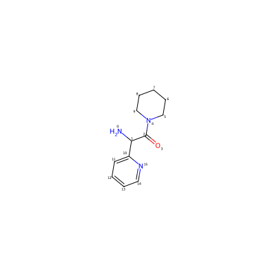 NC(C(=O)N1CCCCC1)c1ccccn1